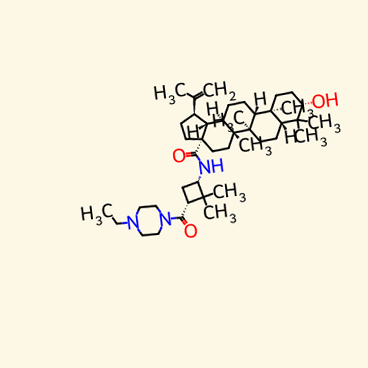 C=C(C)[C@@H]1CC[C@]2(C(=O)N[C@H]3C[C@@H](C(=O)N4CCN(CC)CC4)C3(C)C)CC[C@]3(C)[C@H](CC[C@@H]4[C@@]5(C)CC[C@H](O)C(C)(C)[C@@H]5CC[C@]43C)[C@@H]12